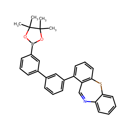 CC1(C)OB(c2cccc(-c3cccc(-c4cccc5c4C=Nc4ccccc4S5)c3)c2)OC1(C)C